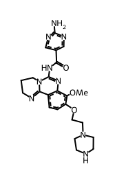 COc1c(OCCN2CCNCC2)ccc2c1N=C(NC(=O)c1cnc(N)nc1)N1CCCN=C21